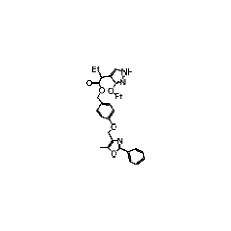 CCOc1n[nH]cc1C(CC)C(=O)OCc1ccc(OCc2nc(-c3ccccc3)oc2C)cc1